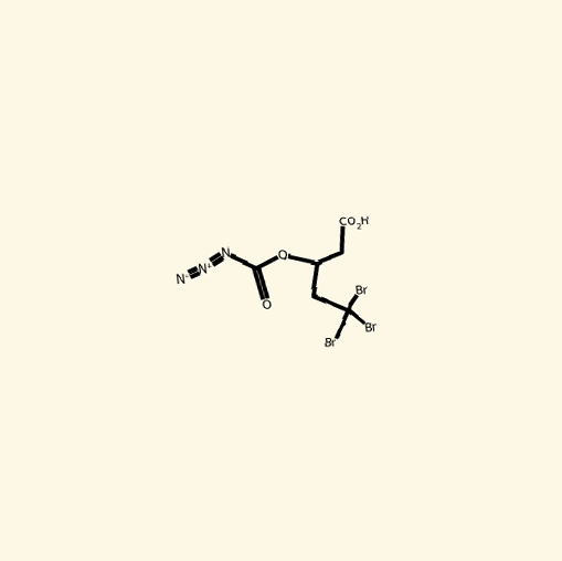 [N-]=[N+]=NC(=O)OC(CC(=O)O)CC(Br)(Br)Br